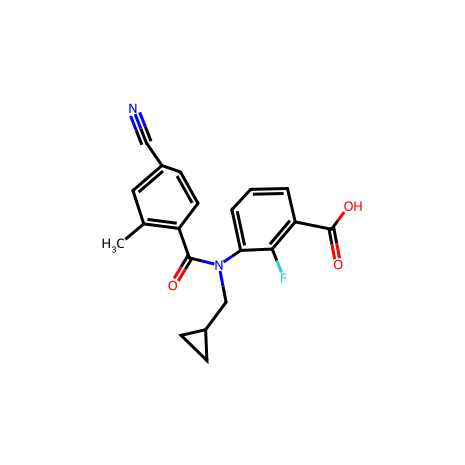 Cc1cc(C#N)ccc1C(=O)N(CC1CC1)c1cccc(C(=O)O)c1F